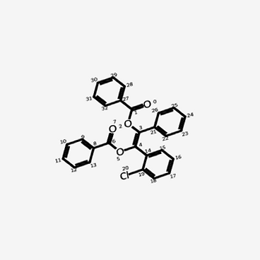 O=C(OC(=C(OC(=O)c1ccccc1)c1ccccc1Cl)c1ccccc1)c1ccccc1